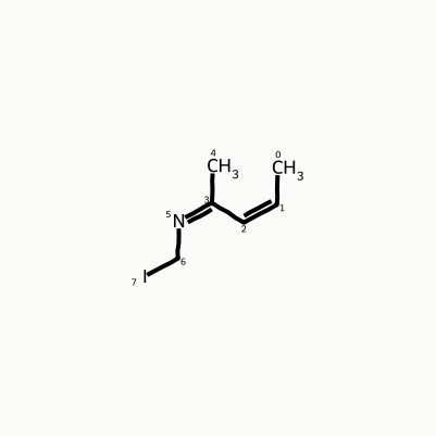 C/C=C\C(C)=N/CI